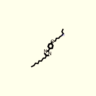 CC/C=C\CCCCOc1ccc(-c2ncc(CCCCCCCC)cn2)cc1